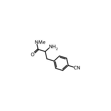 CNC(=O)C(N)Cc1ccc(C#N)cc1